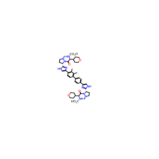 Cc1c(-c2ccc(-c3c[nH]c([C@@H]4CCN(C)N4C(=O)[C@@H](NC(=O)O)C4CCOCC4)n3)cc2)ccc(-c2c[nH]c([C@@H]3CCN(C)N3C(=O)[C@@H](NC(=O)O)C3CCOCC3)n2)c1C